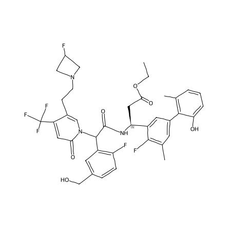 CCOC(=O)C[C@H](NC(=O)C(c1cc(CO)ccc1F)n1cc(CCN2CC(F)C2)c(C(F)(F)F)cc1=O)c1cc(-c2c(C)cccc2O)cc(C)c1F